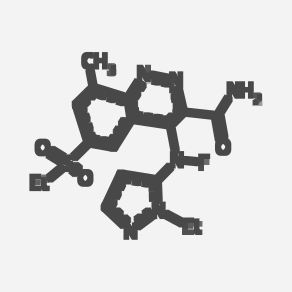 CCn1nccc1N(F)c1c(C(N)=O)nnc2c(C)cc(S(=O)(=O)CC)cc12